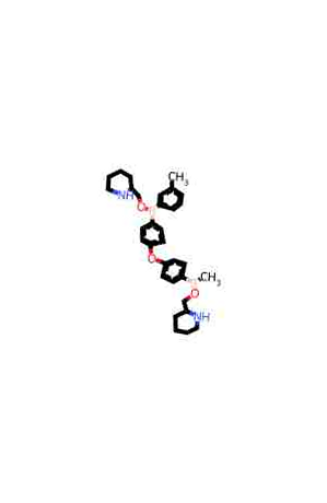 CB(OCC1CCCCN1)c1ccc(Oc2ccc(B(OCC3CCCCN3)c3cccc(C)c3)cc2)cc1